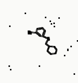 Brc1cccc(SCC2CCCCC2)c1